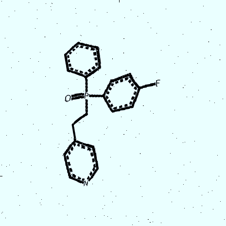 O=P(CCc1ccncc1)(c1ccccc1)c1ccc(F)cc1